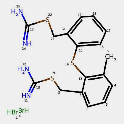 Br.Br.Cc1cccc(CSC(=N)N)c1Sc1ccccc1CSC(=N)N